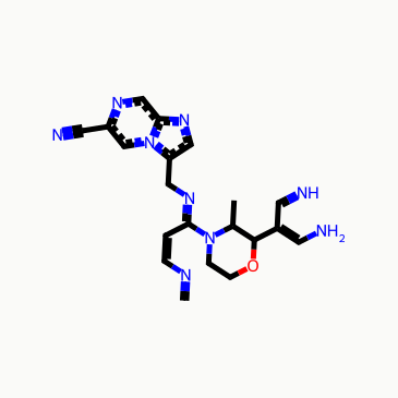 C=N/C=C\C(=N/Cc1cnc2cnc(C#N)cn12)N1CCOC(/C(C=N)=C/N)C1C